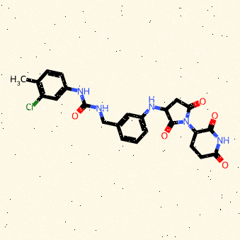 Cc1ccc(NC(=O)NCc2cccc(NC3CC(=O)N(C4CCC(=O)NC4=O)C3=O)c2)cc1Cl